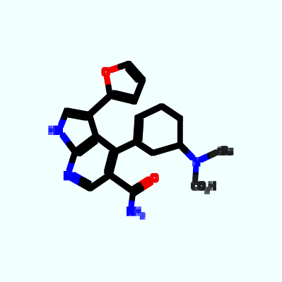 CC(C)(C)N(C(=O)O)C1CCC=C(c2c(C(N)=O)cnc3[nH]cc(-c4ccco4)c23)C1